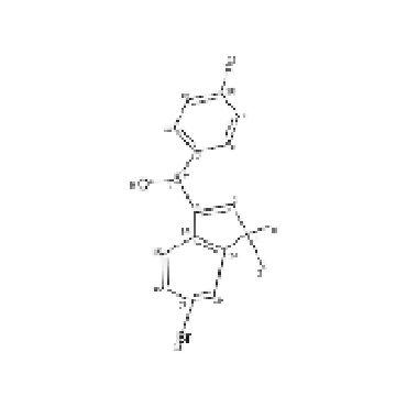 CC1(C)C=C([S+]([O-])c2ccc(F)cc2)c2ccc(Br)cc21